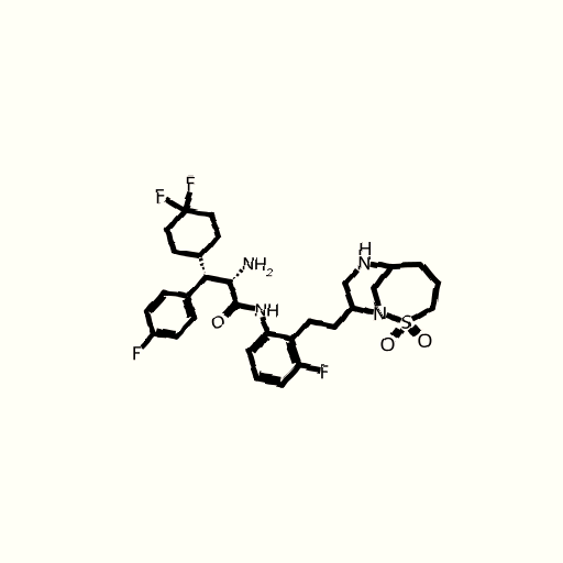 N[C@H](C(=O)Nc1cccc(F)c1CCC1CNC2CCCS(=O)(=O)N1C2)[C@H](c1ccc(F)cc1)C1CCC(F)(F)CC1